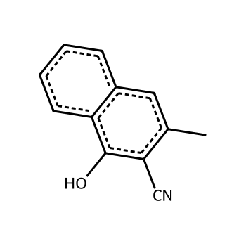 Cc1cc2ccccc2c(O)c1C#N